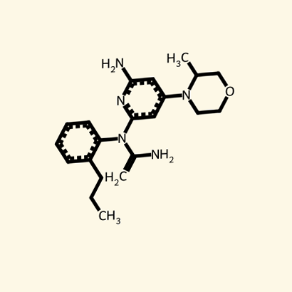 C=C(N)N(c1cc(N2CCOCC2C)cc(N)n1)c1ccccc1CCC